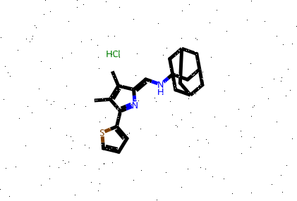 CC1=C(C)C(c2cccs2)=NC1=CNC12CC3CC(CC(C3)C1)C2.Cl